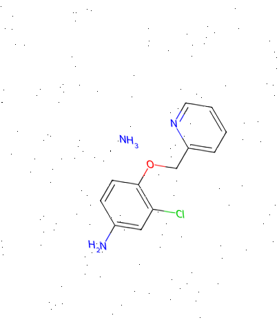 N.Nc1ccc(OCc2ccccn2)c(Cl)c1